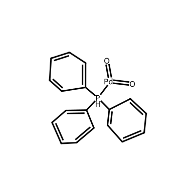 [O]=[Pd](=[O])[PH](c1ccccc1)(c1ccccc1)c1ccccc1